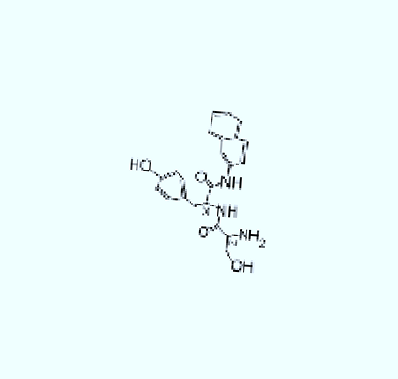 N[C@@H](CO)C(=O)N[C@@H](Cc1ccc(O)cc1)C(=O)Nc1ccc2ccccc2c1